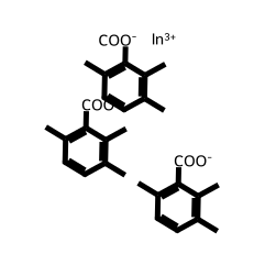 Cc1ccc(C)c(C(=O)[O-])c1C.Cc1ccc(C)c(C(=O)[O-])c1C.Cc1ccc(C)c(C(=O)[O-])c1C.[In+3]